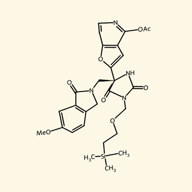 COc1ccc2c(c1)C(=O)N(C[C@@]1(c3cc4c(OC(C)=O)nccc4o3)NC(=O)N(COCC[Si](C)(C)C)C1=O)C2